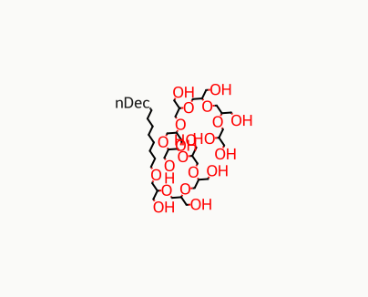 CCCCCCCCCCCCCCCCCCOCC(CO)OCC(CO)OCC(CO)OCC(CO)OCC(CO)OCC(CO)OCC(CO)OCC(CO)OCC(CO)OCC(O)CO